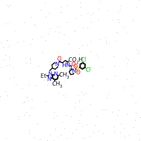 CCc1nc2c(C)cc(C)nc2n1CC1CCN(C(=O)CC[C@H](NC(=O)[C@@H]2CCCN2S(=O)(=O)c2cc(Cl)cc(Cl)c2)C(=O)O)CC1